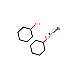 CCC.OC1CCCCC1.OC1CCCCC1